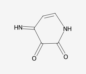 N=C1C=CNC(=O)C1=O